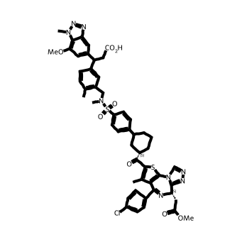 COC(=O)C[C@@H]1N=C(c2ccc(Cl)cc2)c2c(sc(C(=O)[C@H]3CCCC(c4ccc(S(=O)(=O)N(C)Cc5cc(C(CC(=O)O)c6cc(OC)c7c(c6)nnn7C)ccc5C)cc4)C3)c2C)-n2cnnc21